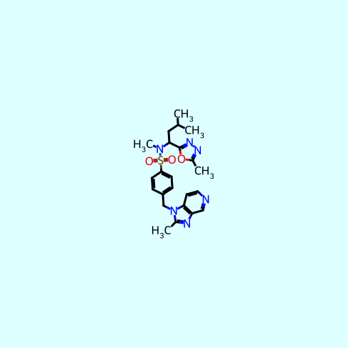 Cc1nnc(C(CC(C)C)N(C)S(=O)(=O)c2ccc(Cn3c(C)nc4cnccc43)cc2)o1